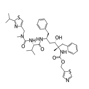 CC(C)c1nc(CN(C)C(=O)N[C@H](C(=O)N[C@@H](Cc2ccccc2)C[C@H](O)[C@](C)(Cc2ccccc2)NC(=O)OCc2cncs2)C(C)C)cs1